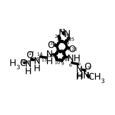 CNC(=O)NCCNc1ccc(NCCNC(=O)NC)c2c1C(=O)c1cnncc1C2=O